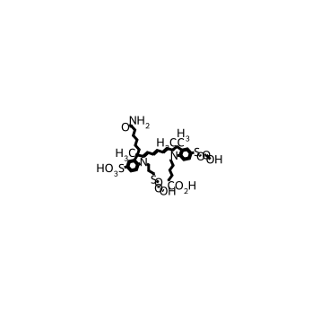 CC1(C)C(/C=C/C=C/C=C2\N(CCCSOOO)c3ccc(S(=O)(=O)O)cc3C2(C)CCCCCC(N)=O)=[N+](CCCCCC(=O)O)c2ccc(SOOO)cc21